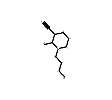 C#CC1CCCN(CCCC)C1C